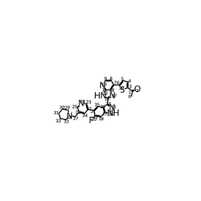 CC(=O)c1ccc(-c2ccnc3[nH]c(-c4n[nH]c5cc(F)c(-c6cncc(CN7CCCCC7)c6)cc45)nc23)s1